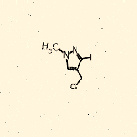 Cn1cc(CCl)c(I)n1